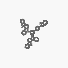 C1=Cc2c(n(-c3cc(-c4ccc(-c5cn6ccccc6n5)cc4)cc(-n4c5ccccc5c5c6sc7ccccc7c6ccc54)c3)c3ccc4c5ccccc5sc4c23)CC1